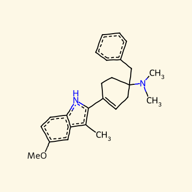 COc1ccc2[nH]c(C3=CCC(Cc4ccccc4)(N(C)C)CC3)c(C)c2c1